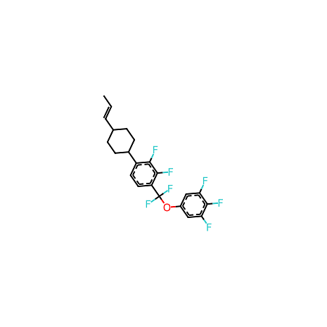 C/C=C/C1CCC(c2ccc(C(F)(F)Oc3cc(F)c(F)c(F)c3)c(F)c2F)CC1